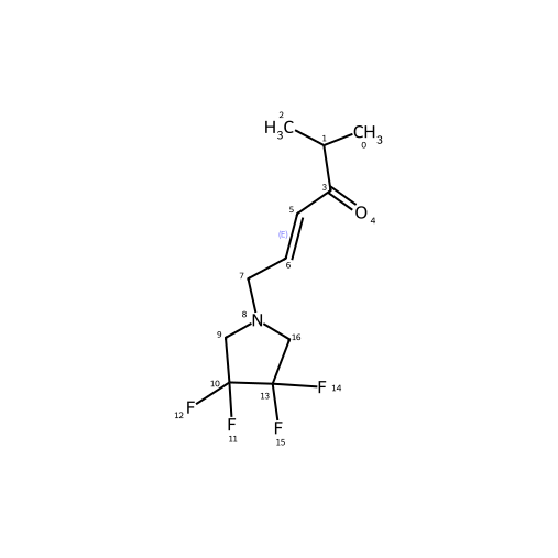 CC(C)C(=O)/C=C/CN1CC(F)(F)C(F)(F)C1